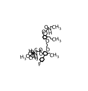 CCCc1c(OCCCOc2cc(OC(=O)C(C)NC(=O)OC(C)(C)C)c(-c3ccc(F)cc3)cc2CC)ccc2c1CC(C(=O)NCC)OC2